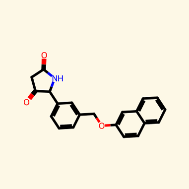 O=C1CC(=O)C(c2cccc(COc3ccc4ccccc4c3)c2)N1